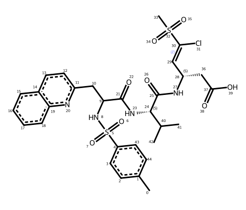 Cc1ccc(S(=O)(=O)NC(Cc2ccc3ccccc3n2)C(=O)N[C@H](C(=O)N[C@H](/C=C(\Cl)S(C)(=O)=O)CC(=O)O)C(C)C)cc1